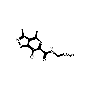 Cc1nsc2c(O)c(C(=O)NCC(=O)O)nc(C)c12